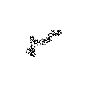 C1=CC(C2=CC(c3ccc(-c4ccc5ccc(-c6ccc7c(c6)NC(c6ncccn6)C=C7)nc5c4)cc3)=NC(c3ccccc3)N2)CC=C1n1c2ccccc2c2ccccc21